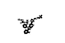 CC(C)(C)OC(=O)N[C@H]1CCC[C@@H](n2c(-c3ccccc3F)nc3cnc(-c4ncn(COCC[Si](C)(C)C)n4)cc32)[C@H]1N=[N+]=[N-]